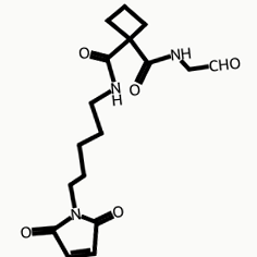 O=CCNC(=O)C1(C(=O)NCCCCCN2C(=O)C=CC2=O)CCC1